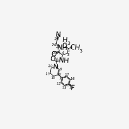 CC(C)CC(NC(=O)N1C=C(c2ccc(F)cc2)CCC1)C(=O)NCC#N